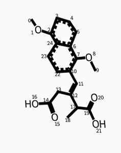 COc1cccc2c(OC)c(/C=C(\CC(=O)O)C(C)C(=O)O)ccc12